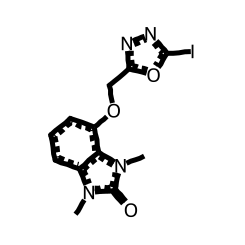 Cn1c(=O)n(C)c2c(OCc3nnc(I)o3)cccc21